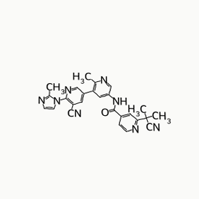 Cc1ncc(NC(=O)c2ccnc(C(C)(C)C#N)c2)cc1-c1cnc(-n2ccnc2C)c(C#N)c1